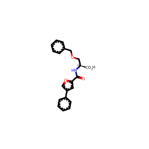 O=C(N[C@@H](COCc1ccccc1)C(=O)O)c1cc(-c2ccccc2)co1